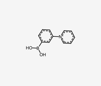 OB(O)c1cccc(-[n+]2ccccc2)c1